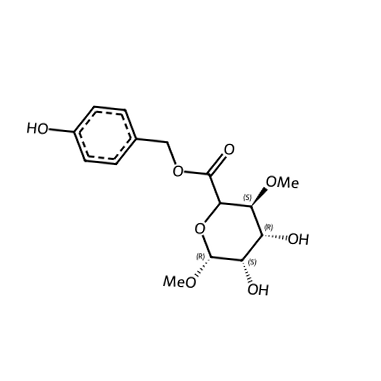 CO[C@@H]1OC(C(=O)OCc2ccc(O)cc2)[C@@H](OC)[C@H](O)[C@@H]1O